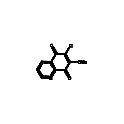 COC1=C(Cl)C(=O)c2cccnc2C1=O